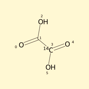 O=C(O)[14C](=O)O